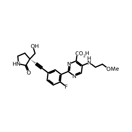 COCCNc1cnc(-c2cc(C#C[C@@]3(CO)CCNC3=O)ccc2F)nc1C(=O)O